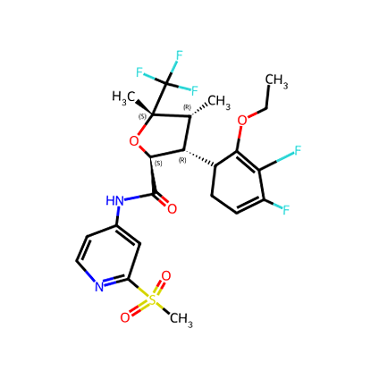 CCOC1=C(F)C(F)=CCC1[C@@H]1[C@@H](C(=O)Nc2ccnc(S(C)(=O)=O)c2)O[C@](C)(C(F)(F)F)[C@@H]1C